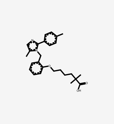 Cc1ccc(-c2ncc(C)n2Cc2ccccc2OCCCCC(C)(C)C(=O)O)cc1